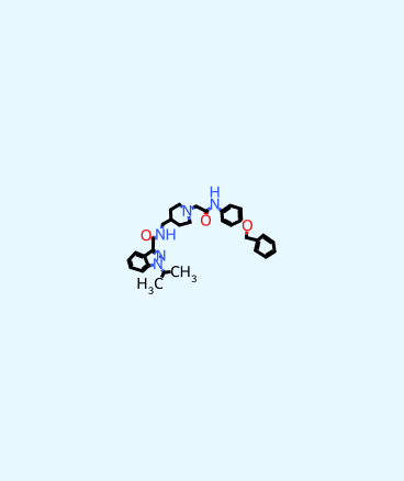 CC(C)n1nc(C(=O)NCC2CCN(CC(=O)Nc3ccc(OCc4ccccc4)cc3)CC2)c2ccccc21